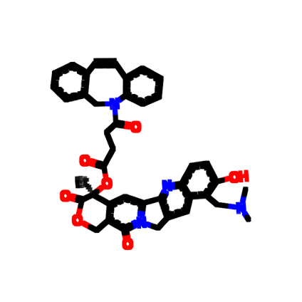 CC[C@@]1(OC(=O)CCC(=O)N2Cc3ccccc3C#Cc3ccccc32)C(=O)OCc2c1cc1n(c2=O)Cc2cc3c(CN(C)C)c(O)ccc3nc2-1